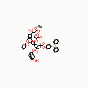 CC1C2CC(C(O)CC(=O)OC(C)(C)C)C(C2)C1CC(CC(C)(CC(C)(CC(C)(C)C(=O)Oc1ccc([S+](c2ccccc2)c2ccccc2)cc1)C(=O)OC1C2CC3CC1CC(O)(C3)C2)C(=O)OC1CCOC1=O)C(=O)OC1(C)CCCC1